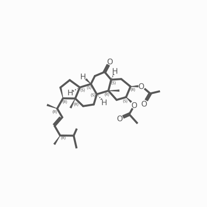 CC(=O)O[C@H]1C[C@@]2(C)[C@H](C[C@H]1OC(C)=O)C(=O)C[C@@H]1[C@@H]2CC[C@]2(C)[C@@H]([C@H](C)C=C[C@H](C)C(C)C)CC[C@@H]12